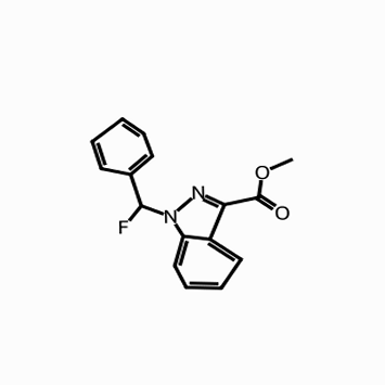 COC(=O)c1nn(C(F)c2ccccc2)c2ccccc12